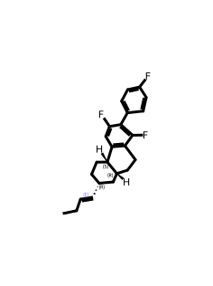 CC/C=C/[C@@H]1CC[C@@H]2c3cc(F)c(-c4ccc(F)cc4)c(F)c3CC[C@@H]2C1